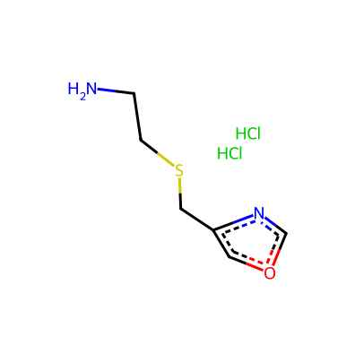 Cl.Cl.NCCSCc1cocn1